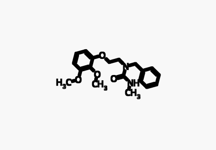 CNC(=O)N(CCOc1cccc(OC)c1OC)Cc1ccccc1